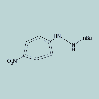 CCCCNNc1ccc([N+](=O)[O-])cc1